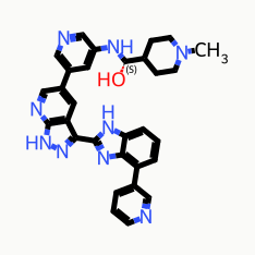 CN1CCC([C@H](O)Nc2cncc(-c3cnc4[nH]nc(-c5nc6c(-c7cccnc7)cccc6[nH]5)c4c3)c2)CC1